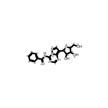 O=C(Nc1ncnc2c(C3OC(CO)C(O)C3O)cnn12)c1ccccc1